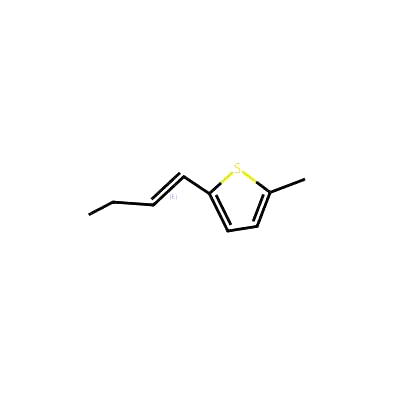 CC/C=C/c1ccc(C)s1